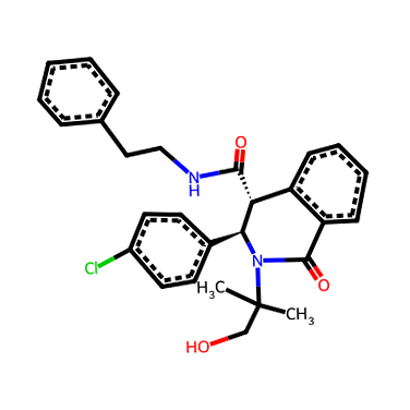 CC(C)(CO)N1C(=O)c2ccccc2[C@@H](C(=O)NCCc2ccccc2)[C@@H]1c1ccc(Cl)cc1